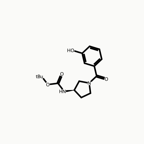 CC(C)(C)OC(=O)N[C@@H]1CCN(C(=O)c2cccc(O)c2)C1